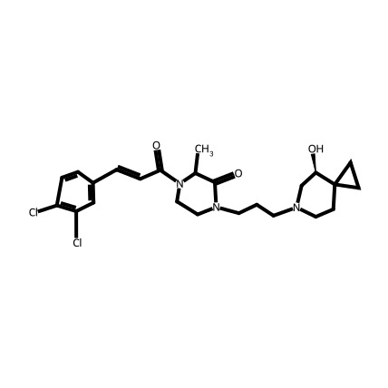 CC1C(=O)N(CCCN2CCC3(CC3)[C@H](O)C2)CCN1C(=O)/C=C/c1ccc(Cl)c(Cl)c1